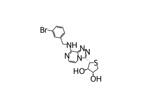 O[C@@H]1[C@H](O)CS[C@H]1c1nnc2c(NCc3cccc(Br)c3)nccn12